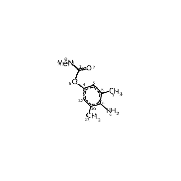 CNC(=O)Oc1cc(C)c(N)c(C)c1